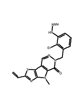 C=Cc1nc2c(s1)c1cnn(Cc3cccc(NNC)c3CC)c(=O)c1n2C